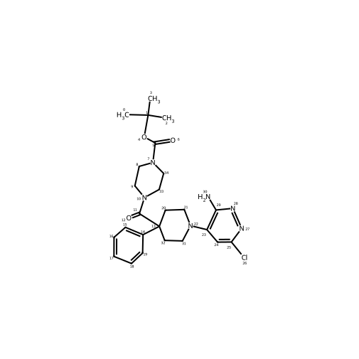 CC(C)(C)OC(=O)N1CCN(C(=O)C2(c3ccccc3)CCN(c3cc(Cl)nnc3N)CC2)CC1